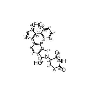 Cn1cnc(-c2ccc3c(c2)CN(C2CCC(=O)NC2=O)C3O)c1-c1ccccc1C(F)(F)F